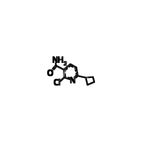 NC(=O)c1ccc(C2CCC2)nc1Cl